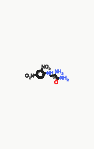 NC(=O)[C@@H](N)CNc1ccc([N+](=O)[O-])cc1[N+](=O)[O-]